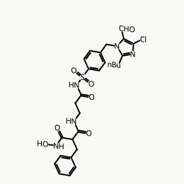 CCCCc1nc(Cl)c(C=O)n1Cc1ccc(S(=O)(=O)NC(=O)CCNC(=O)C(Cc2ccccc2)C(=O)NO)cc1